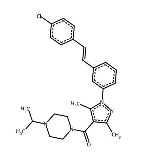 Cc1nn(-c2cccc(C=Cc3ccc(Cl)cc3)c2)c(C)c1C(=O)N1CCN(C(C)C)CC1